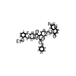 CCOc1cccc(F)c1CN1CCN(C(=O)[C@H](NC(=O)OCc2ccccc2)C2CCN(CCn3c(=O)ccc4ncc(F)cc43)CC2)CC1